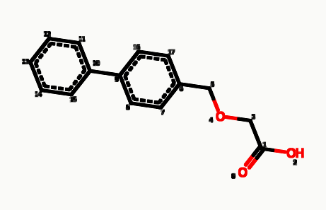 O=C(O)COCc1ccc(-c2ccccc2)cc1